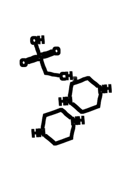 C1CNCCN1.C1CNCCN1.CCS(=O)(=O)O